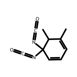 CC1=CC=CC(N=C=O)(N=C=O)C1C